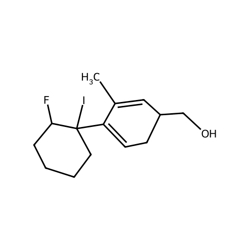 CC1=CC(CO)CC=C1C1(I)CCCCC1F